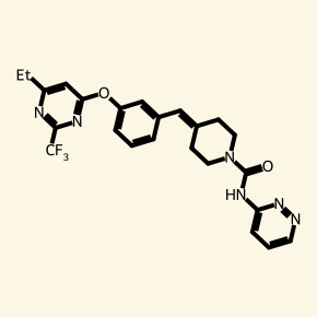 CCc1cc(Oc2cccc(C=C3CCN(C(=O)Nc4cccnn4)CC3)c2)nc(C(F)(F)F)n1